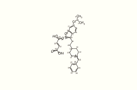 CC(C)Oc1ccc2c(CCC3CCN(Cc4ccccc4)CC3)noc2c1.O=C(O)C=CC(=O)O